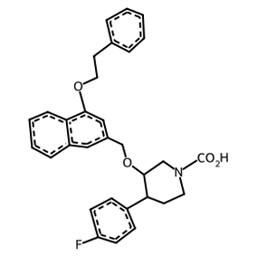 O=C(O)N1CCC(c2ccc(F)cc2)C(OCc2cc(OCCc3ccccc3)c3ccccc3c2)C1